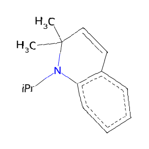 CC(C)N1c2ccccc2C=CC1(C)C